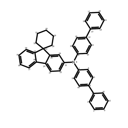 c1ccc(-c2ccc(N(c3ccc(-c4ccccc4)cc3)c3ccc4c(c3)C3(CCCCC3)c3ccccc3-4)cc2)cc1